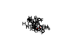 COc1ccc(F)cc1[C@H](Cn1c(=O)n([C@]2(C)CCCN(C)C2=O)c(=O)c2c(C)c(-n3nccn3)sc21)OCCCC(C)(C)[Si](O)(c1ccccc1)c1ccccc1